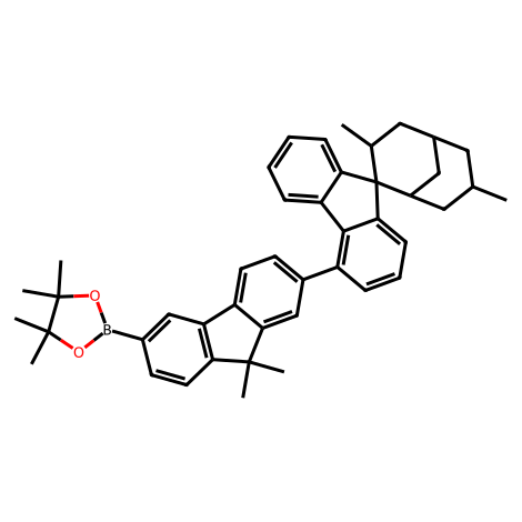 CC1CC2CC(C)C3(c4ccccc4-c4c(-c5ccc6c(c5)C(C)(C)c5ccc(B7OC(C)(C)C(C)(C)O7)cc5-6)cccc43)C(C1)C2